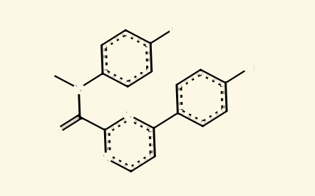 CN(C(=O)c1nccc(-c2ccc(C(F)(F)F)cc2)n1)c1ccc(Cl)cc1